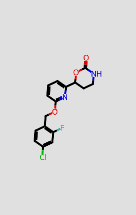 O=C1NCCC(c2cccc(OCc3ccc(Cl)cc3F)n2)O1